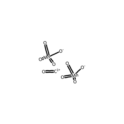 [C+2]=O.[O]=[Mn](=[O])(=[O])[O-].[O]=[Mn](=[O])(=[O])[O-]